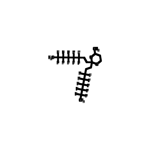 CC1CCOC(CCC(F)(F)C(F)(F)C(F)(F)C(F)(F)C(F)(F)C(F)(F)F)(CCC(F)(F)C(F)(F)C(F)(F)C(F)(F)C(F)(F)C(F)(F)F)O1